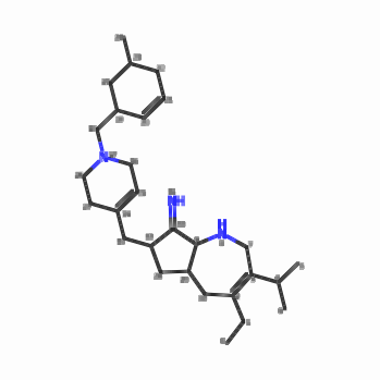 CCC1=C(C(C)C)CNC2C(=N)C(CC3=CCN(CC4C=CCC(C)C4)CC3)CC2C1